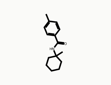 Cc1ccc(C(=O)NC2(C)CCCCC2)cc1